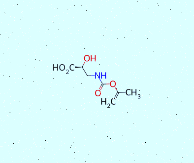 C=C(C)OC(=O)NC[C@H](O)C(=O)O